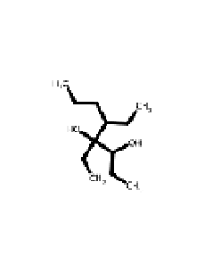 CCCC(CC)C(O)(CC)C(O)CC